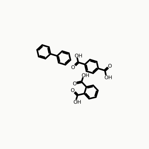 O=C(O)c1ccc(C(=O)O)cc1.O=C(O)c1ccccc1C(=O)O.c1ccc(-c2ccccc2)cc1